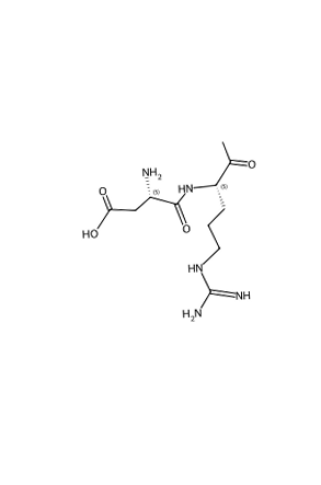 CC(=O)[C@H](CCCNC(=N)N)NC(=O)[C@@H](N)CC(=O)O